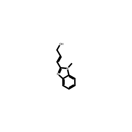 Cn1c(/C=C/CO)nc2ccccc21